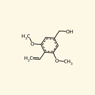 C=Cc1c(OC)cc(CO)cc1OC